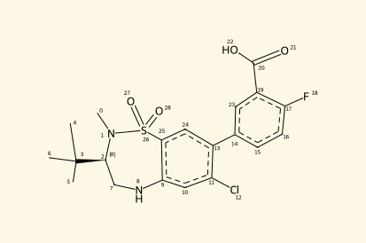 CN1[C@H](C(C)(C)C)CNc2cc(Cl)c(-c3ccc(F)c(C(=O)O)c3)cc2S1(=O)=O